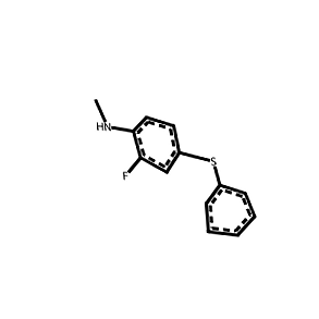 CNc1ccc(Sc2ccccc2)cc1F